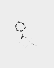 CC(=O)N(OC(=O)c1ccccc1)C(C)=O